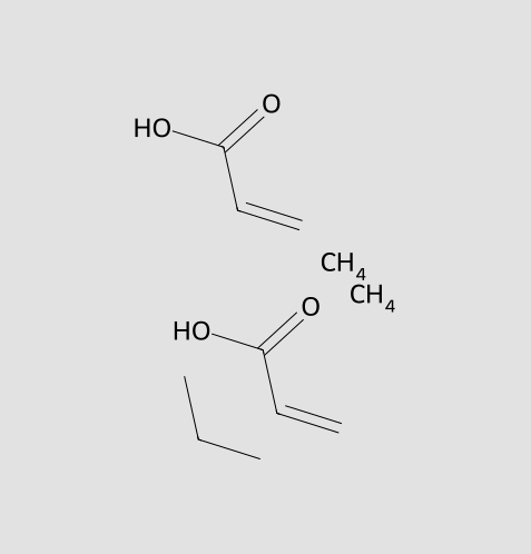 C.C.C=CC(=O)O.C=CC(=O)O.CCC